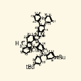 CC(C)(C)c1ccc(N(c2ccc(C(C)(C)C)cc2)c2ccc3c(c2)N2c4c(ccc5c4B3c3nc4cc(-c6ccccc6)c(-c6ccccc6)cc4n3-5)C3(C)CCCCC23C)cc1